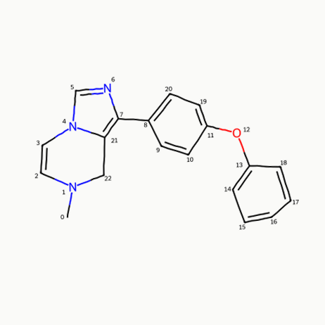 CN1C=Cn2cnc(-c3ccc(Oc4ccccc4)cc3)c2C1